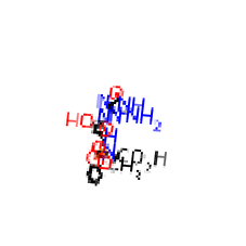 CC(N[P@](=O)(OCC1=C[C@@H](O)[C@H](n2cnc3c(=O)[nH]c(N)nc32)O1)Oc1ccccc1)C(=O)O